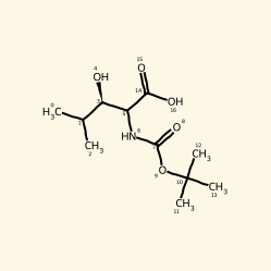 CC(C)[C@@H](O)C(NC(=O)OC(C)(C)C)C(=O)O